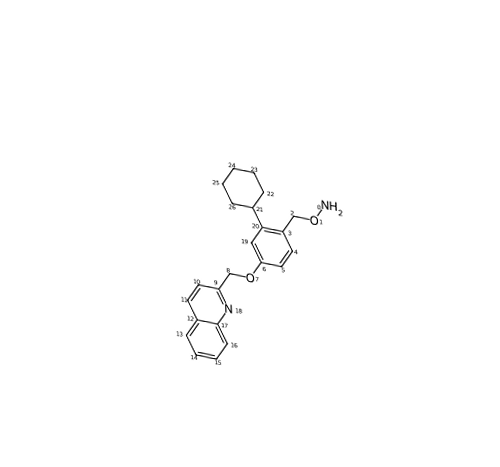 NOCc1ccc(OCc2ccc3ccccc3n2)cc1C1CCCCC1